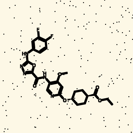 CCOC(=O)[C@H]1CC[C@H](Oc2cc(OC)c(NC(=O)c3nnc(Nc4ccc(F)c(F)c4)o3)cn2)CC1